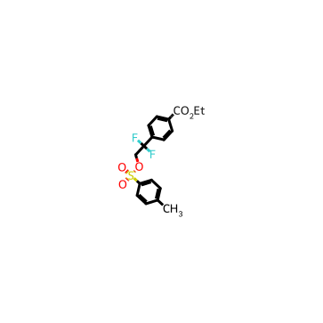 CCOC(=O)c1ccc(C(F)(F)COS(=O)(=O)c2ccc(C)cc2)cc1